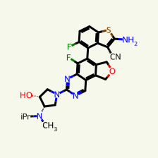 CC(C)N(C)[C@H]1CN(c2ncc3c4c(c(-c5c(F)ccc6sc(N)c(C#N)c56)c(F)c3n2)COC4)C[C@H]1O